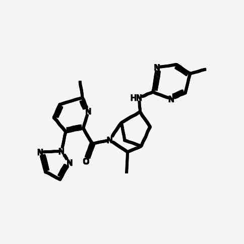 Cc1cnc(NC2CC3CC2N(C(=O)c2nc(C)ccc2-n2nccn2)C3C)nc1